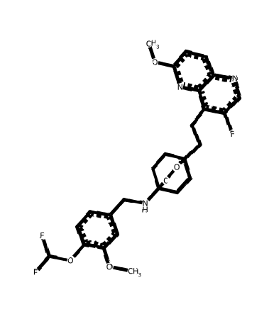 COc1ccc2ncc(F)c(CCC34CCC(NCc5ccc(OC(F)F)c(OC)c5)(CC3)CO4)c2n1